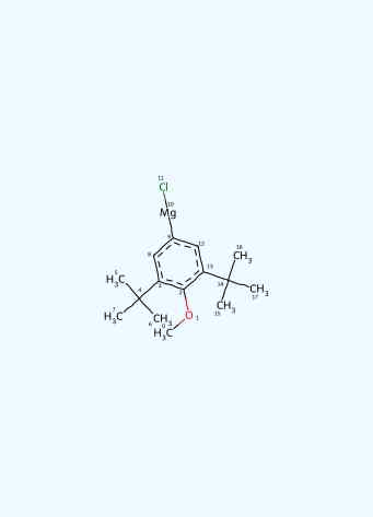 COc1c(C(C)(C)C)c[c]([Mg][Cl])cc1C(C)(C)C